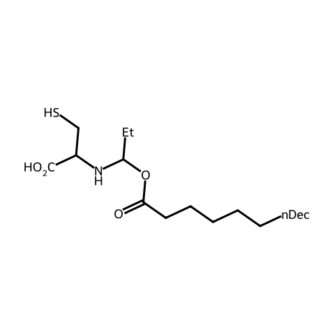 CCCCCCCCCCCCCCCC(=O)OC(CC)NC(CS)C(=O)O